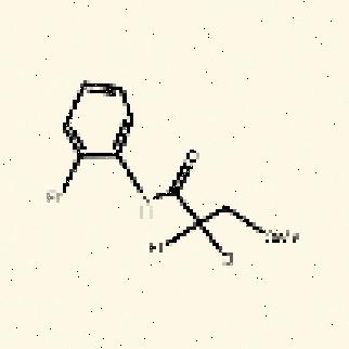 CCc1ccccc1NC(=O)C(Cl)(CC)COC